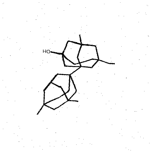 CC12CC3CC(C)(C1)CC(C14CC5(C)CC(C)(CC(O)(C5)C1)C4)(C3)C2